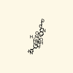 COCCOc1cnc2ccn([C@H](N)C(=O)NNc3ncc(-c4cnn(C)c4)cc3F)c(=O)c2c1